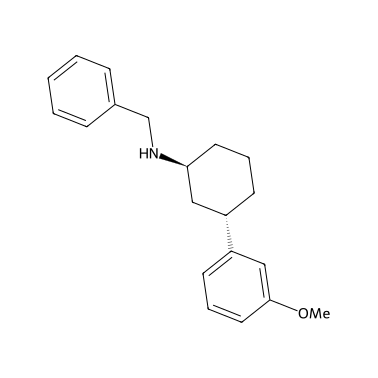 COc1cccc([C@H]2CCC[C@H](NCc3ccccc3)C2)c1